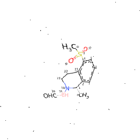 C[C@H]1c2cccc(S(C)(=O)=O)c2CCN1BC=O